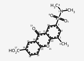 Cc1cc(S(=O)(=O)N(C)C)cc2c(=O)c3cc(C(=O)O)ccc3oc12